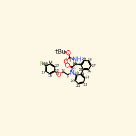 CC(C)(C)OC(=O)N[C@@H]1C(=O)N(CCOc2ccc(F)cc2)c2ccccc2-c2ccccc21